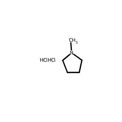 CN1CCCC1.Cl.Cl